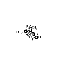 CC(F)C1=C(c2ccc(C(CCC(C)C(F)(F)F)C(=O)Nc3ccc(C(=O)O)cc3)[n+](C)c2)C(F)=C(Cl)CC1